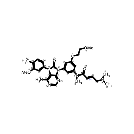 COCCOc1cc(N(C)C(=O)/C=C/CN(C)C)cc(-n2c(=O)n(-c3ccc(C)c(OC)c3)c3c(N)ncnc32)c1